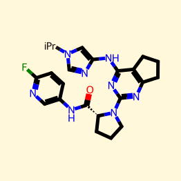 CC(C)n1cnc(Nc2nc(N3CCC[C@@H]3C(=O)Nc3ccc(F)nc3)nc3c2CCC3)c1